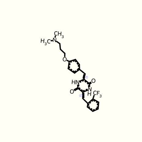 CN(C)CCCOc1ccc(/C=c2\[nH]c(=O)/c(=C/c3ccccc3C(F)(F)F)[nH]c2=O)cc1